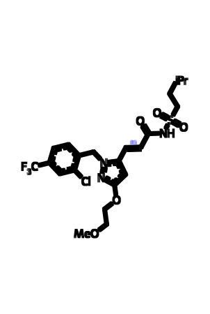 COCCOc1cc(/C=C/C(=O)NS(=O)(=O)CCC(C)C)n(Cc2ccc(C(F)(F)F)cc2Cl)n1